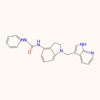 O=C(Nc1ccccc1)Nc1cccc2c1CCN2Cc1c[nH]c2ncccc12